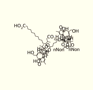 CCCCCCCCCC(=O)O[C@@H]1[C@@H](C)[C@@]2(O)[C@@H](C=C(CO)C[C@]3(O)C(=O)C(C)=C[C@@H]23)[C@@H]2C(C)(C)[C@]12OC(=O)CCCCCCCCC.CCCCCCCCCCCCCC(=O)O[C@@H]1[C@@H](C)[C@@]2(O)[C@@H](C=C(CO)C[C@]3(O)C(=O)C(C)=C[C@@H]23)[C@@H]2C(C)(C)[C@]12OC(CCCCCCCCCCC(=O)O)C(C)CC(=O)O